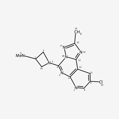 CNC1CN(c2nc3ncc(Cl)cc3c3nc(C)nn23)C1